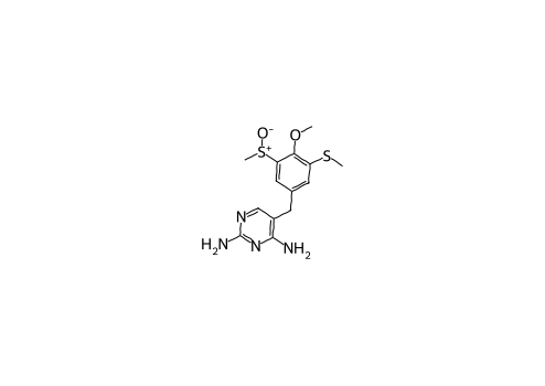 COc1c(SC)cc(Cc2cnc(N)nc2N)cc1[S+](C)[O-]